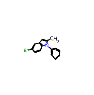 Cc1cc2cc(Br)ccc2n1-c1ccccc1